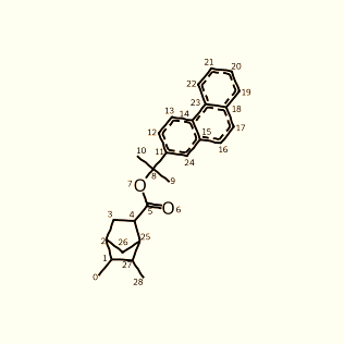 CC1C2CC(C(=O)OC(C)(C)c3ccc4c(ccc5ccccc54)c3)C(C2)C1C